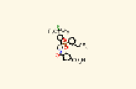 O=C(O)C1CCC(C(=O)N2CCC(c3ccc(C(F)(C(F)(F)F)C(F)(F)F)cc3)(S(=O)(=O)c3cccc(CC(F)(F)F)c3)C2)CC1